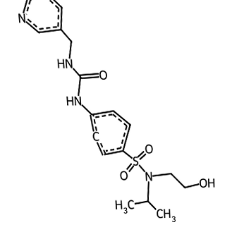 CC(C)N(CCO)S(=O)(=O)c1ccc(NC(=O)NCc2cccnc2)cc1